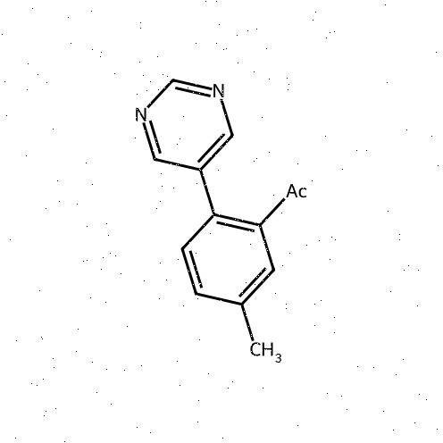 CC(=O)c1cc(C)ccc1-c1cncnc1